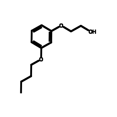 CCCCOc1cccc(OCCO)c1